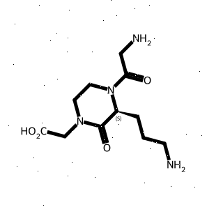 NCCC[C@H]1C(=O)N(CC(=O)O)CCN1C(=O)CN